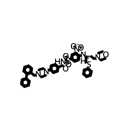 O=C(NS(=O)(=O)c1ccc(N[C@H](CCN2CCOCC2)CSc2ccccc2)c([N+](=O)[O-])c1)c1ccc(N2CCN(Cc3ccccc3-c3ccccc3)CC2)cc1